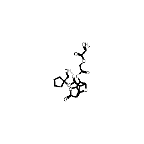 C=CC(=O)OCC(=O)OC1C2OC(=O)C3C2OC1C3C(=O)OC1(CC)CCCC1